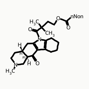 CCCCCCCCCC(=O)OCCC(C)(C)C(=O)n1c2c(c3c1C[C@H]1CCN(C)C[C@@H]1C3=O)CCCC2